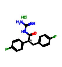 Cl.N=C(N)NC(=O)[C@@H](Cc1ccc(F)cc1)c1ccc(F)cc1